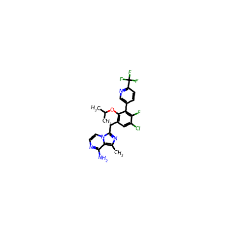 Cc1nc(Cc2cc(Cl)c(F)c(-c3ccc(C(F)(F)F)nc3)c2OC(C)C)n2ccnc(N)c12